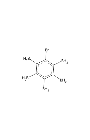 Bc1c(B)c(B)c(Br)c(B)c1B